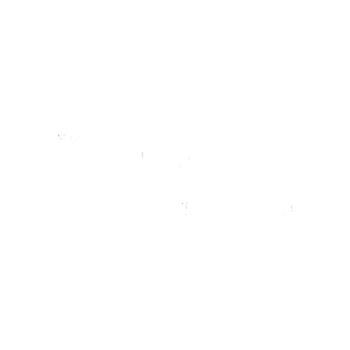 COc1ccc(S(=O)(=O)Nc2cc(C(=O)O)ccc2F)cc1